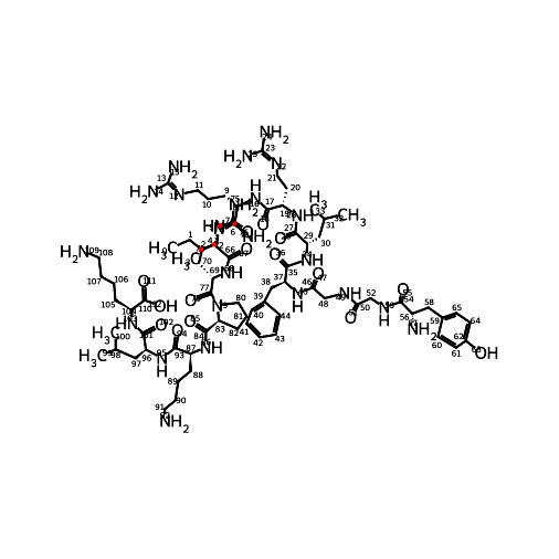 CC[C@H](C)[C@H](NC(=O)[C@H](CCCN=C(N)N)NC(=O)[C@H](CCN=C(N)N)NC(=O)[C@H](CC(C)C)NC(=O)[C@H](Cc1ccccc1)NC(=O)CNC(=O)CNC(=O)[C@@H](N)Cc1ccc(O)cc1)C(=O)N[C@@H](CCCN=C(N)N)C(=O)N1CCC[C@H]1C(=O)N[C@@H](CCCCN)C(=O)N[C@@H](CC(C)C)C(=O)N[C@@H](CCCCN)C(=O)O